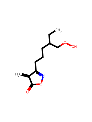 C=C1C(=O)ON=C1CCCC(CC)COO